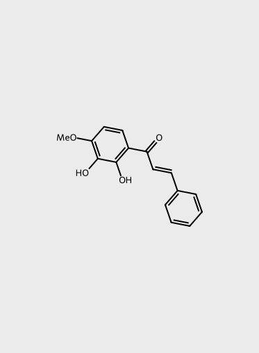 COc1ccc(C(=O)/C=C/c2ccccc2)c(O)c1O